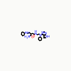 NC(=O)C(CCNC1CCCCC1)CC(=O)NCCN(c1ncnc2[nH]ccc12)C1CCCCC1